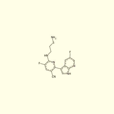 N#Cc1cc(F)c(NCCSN)nc1-c1c[nH]c2ncc(F)cc12